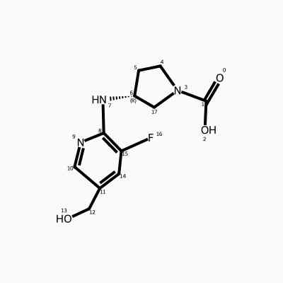 O=C(O)N1CC[C@@H](Nc2ncc(CO)cc2F)C1